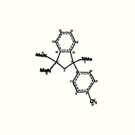 CNC1(NC)CC(NC)(c2ccc(C)cc2)c2ccccc21